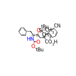 CC(C)(C)OC(=O)N[C@@H](Cc1ccccc1)[C@H](C[C@@H](Cc1cccc(C#N)c1)C(=O)O)O[Si](C)(C)C(C)(C)C